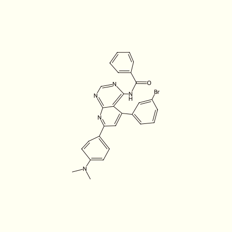 CN(C)c1ccc(-c2cc(-c3cccc(Br)c3)c3c(NC(=O)c4ccccc4)ncnc3n2)cc1